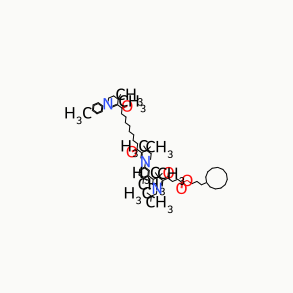 Cc1ccc(N2C=C(C(=O)CCCCCCCCC(=O)C3=CN(c4ccc(C)c(C5CN(CC(C)C)C=C(C(=O)CCC(=O)OCCCC6CCCCCCCCCCC6)C5(C)C)c4)CCC3(C)C)C(C)(C)CC2)cc1